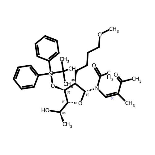 COCCCC[C@@H]1[C@H](O[Si](c2ccccc2)(c2ccccc2)C(C)(C)C)[C@@H]([C@@H](C)O)O[C@H]1N(/C=C(/C)C(C)=O)C(C)=O